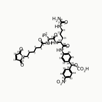 CC(C)[C@H](NC(=O)CCCCCN1C(=O)C=CC1=O)C(=O)N[C@@H](CCCNC(N)=O)C(=O)Nc1ccc(C(OC(=O)O)c2ccc([N+](=O)[O-])cc2)cc1